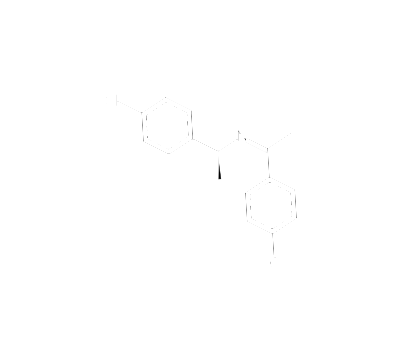 CC(=N[C@@H](C)c1ccc(Cl)cc1)c1ccc(Cl)cc1